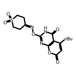 CCCCc1cc(=O)oc2nc(ON=C3CCS(=O)(=O)CC3)[nH]c(=O)c12